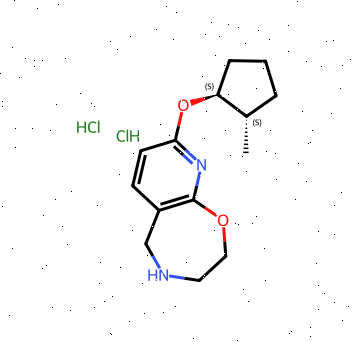 C[C@H]1CCC[C@@H]1Oc1ccc2c(n1)OCCNC2.Cl.Cl